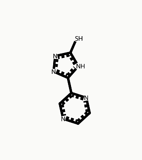 Sc1nnc(-c2cnccn2)[nH]1